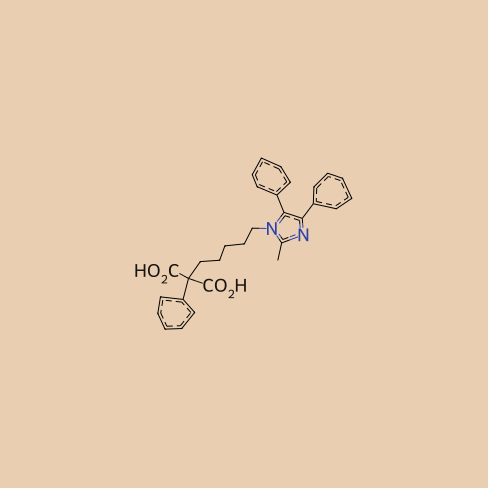 Cc1nc(-c2ccccc2)c(-c2ccccc2)n1CCCCCC(C(=O)O)(C(=O)O)c1ccccc1